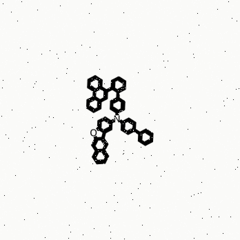 c1ccc(-c2ccc(N(c3ccc(-c4ccccc4-c4cc5ccccc5c5ccccc45)cc3)c3ccc4oc5cc6ccccc6cc5c4c3)cc2)cc1